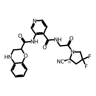 N#C[C@@H]1CC(F)(F)CN1C(=O)CNC(=O)c1ccncc1NC(=O)C1CNc2ccccc2O1